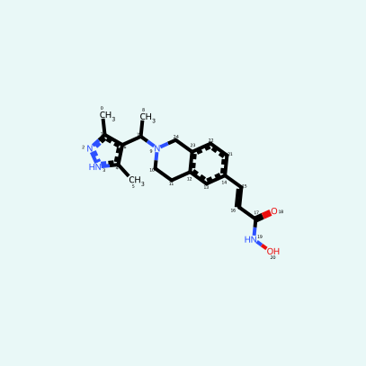 Cc1n[nH]c(C)c1C(C)N1CCc2cc(C=CC(=O)NO)ccc2C1